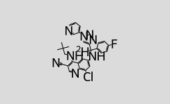 [2H]C(Nc1cc(Cl)c2ncc(C#N)c(NCC(C)(C)C)c2c1)(c1ccc(F)cc1)c1cn(-c2cccnc2)nn1